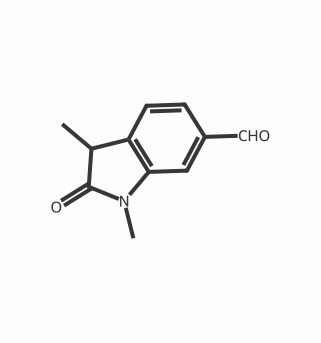 CC1C(=O)N(C)c2cc(C=O)ccc21